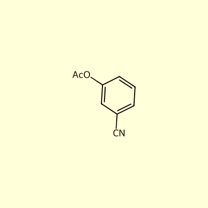 CC(=O)Oc1cccc(C#N)c1